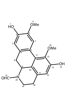 COc1cc2c(cc1O)CC1c3c(cc(O)c(OC)c3-2)CCN1C=O